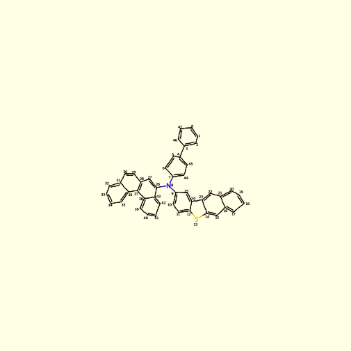 c1ccc(-c2ccc(N(c3ccc4sc5cc6ccccc6cc5c4c3)c3cc4ccc5ccccc5c4c4ccccc34)cc2)cc1